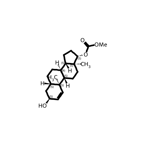 COC(=O)O[C@H]1CC[C@H]2[C@@H]3CC[C@H]4C[C@H](O)C=C[C@]4(C)[C@H]3CC[C@]12C